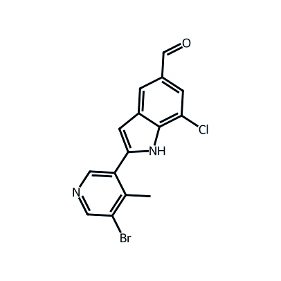 Cc1c(Br)cncc1-c1cc2cc(C=O)cc(Cl)c2[nH]1